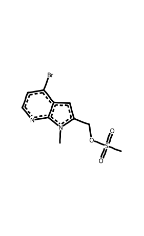 Cn1c(COS(C)(=O)=O)cc2c(Br)ccnc21